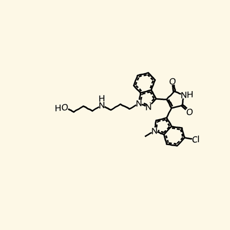 Cn1cc(C2=C(c3nn(CCCNCCCO)c4ccccc34)C(=O)NC2=O)c2cc(Cl)ccc21